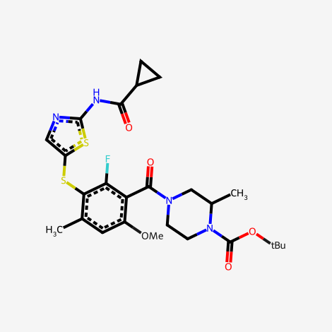 COc1cc(C)c(Sc2cnc(NC(=O)C3CC3)s2)c(F)c1C(=O)N1CCN(C(=O)OC(C)(C)C)C(C)C1